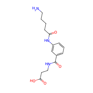 NCCCCC(=O)Nc1cccc(C(=O)NCCC(=O)O)c1